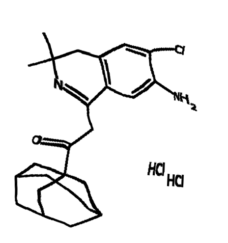 CC1(C)Cc2cc(Cl)c(N)cc2C(CC(=O)C23CC4CC(CC(C4)C2)C3)=N1.Cl.Cl